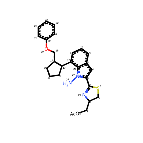 CC(=O)OCC1CSC(c2cc3cccc(C4CCCC4COc4ccccc4)c3n2N)=N1